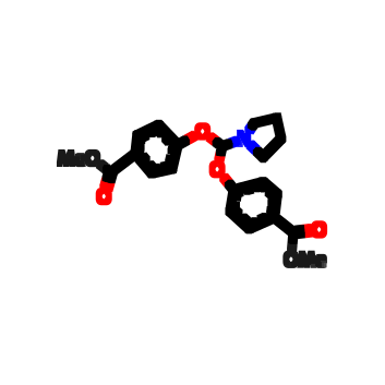 COC(=O)c1ccc(OC(Oc2ccc(C(=O)OC)cc2)N2CCCC2)cc1